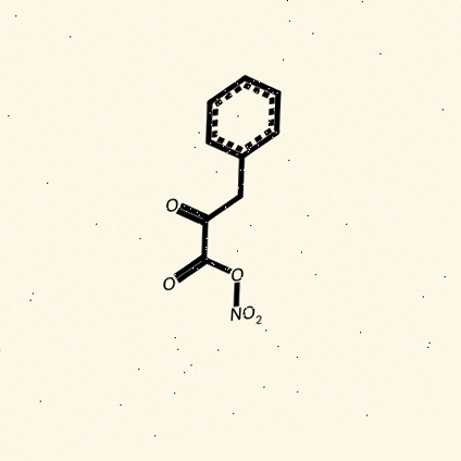 O=C(Cc1ccccc1)C(=O)O[N+](=O)[O-]